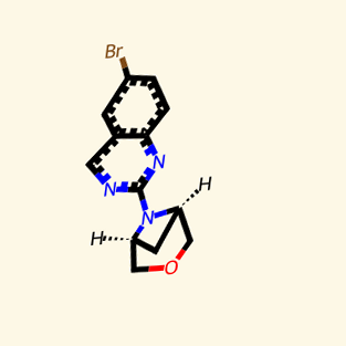 Brc1ccc2nc(N3[C@@H]4COC[C@H]3C4)ncc2c1